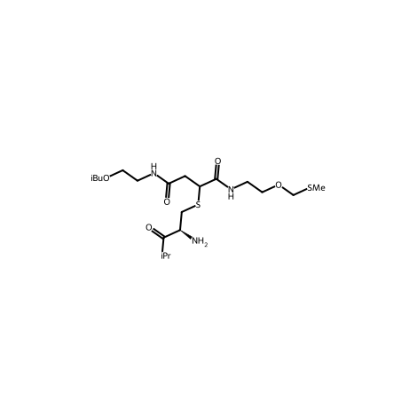 CSCOCCNC(=O)C(CC(=O)NCCOCC(C)C)SC[C@@H](N)C(=O)C(C)C